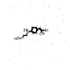 CCCCCCCCCCCCN(CC)c1ccc(/C=C(\C#N)C(C)=O)cc1